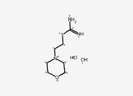 Cl.Cl.N=C(N)SCCN1CCOCC1